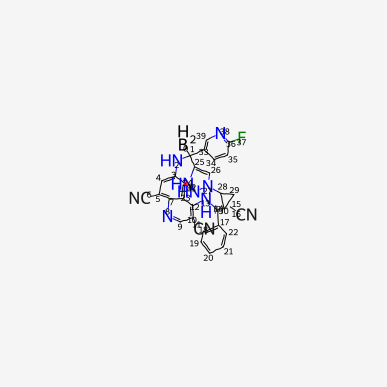 BC(Nc1cc(C#N)c2ncc(C#N)c(N[C@H](CC#N)c3ccccc3)c2c1)(C1=CN(C2CC2)NN1)c1ccc(F)nc1